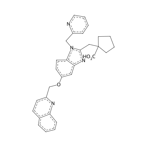 O=C(O)C1(Cc2nc3cc(OCc4ccc5ccccc5n4)ccc3n2Cc2ccccn2)CCCC1